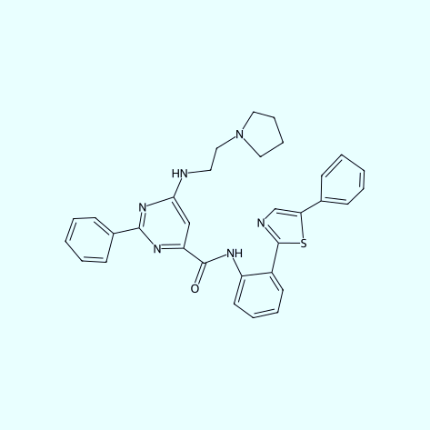 O=C(Nc1ccccc1-c1ncc(-c2ccccc2)s1)c1cc(NCCN2CCCC2)nc(-c2ccccc2)n1